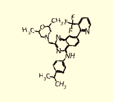 CC1CN(Cc2nc(Nc3ccc(C(C)C)cc3)c3ccc(-c4ncccc4C(F)(F)F)cc3n2)CC(C)O1